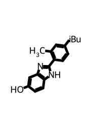 CCC(C)c1ccc(-c2nc3cc(O)ccc3[nH]2)c(C)c1